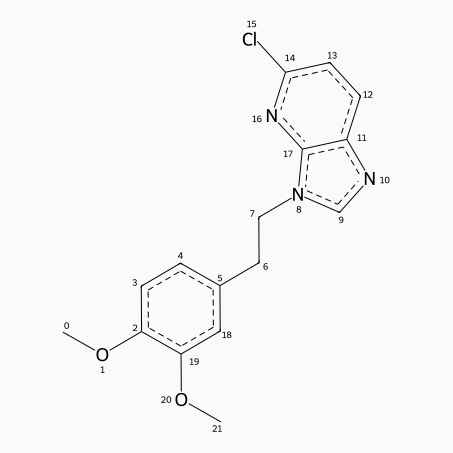 COc1ccc(CCn2cnc3ccc(Cl)nc32)cc1OC